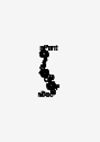 CCCCCCCCCCOc1ccc(C(=O)Oc2ccc(OCCCC3CCC(CCCCC)CC3)cc2)cc1F